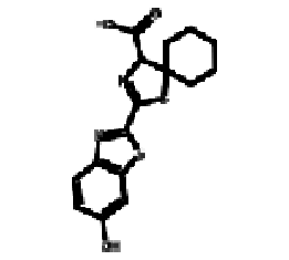 O=C(O)C1N=C(c2nc3ccc(O)cc3s2)SC12CCCCC2